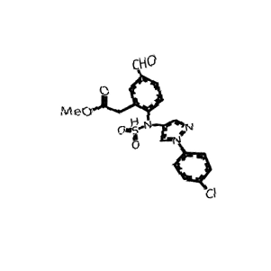 COC(=O)Cc1cc(C=O)ccc1N(c1cnn(-c2ccc(Cl)cc2)c1)[SH](=O)=O